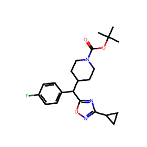 CC(C)(C)OC(=O)N1CCC(C(c2ccc(F)cc2)c2nc(C3CC3)no2)CC1